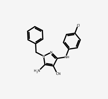 N#Cc1c(Nc2ccc(Cl)cc2)nn(Cc2ccccc2)c1N